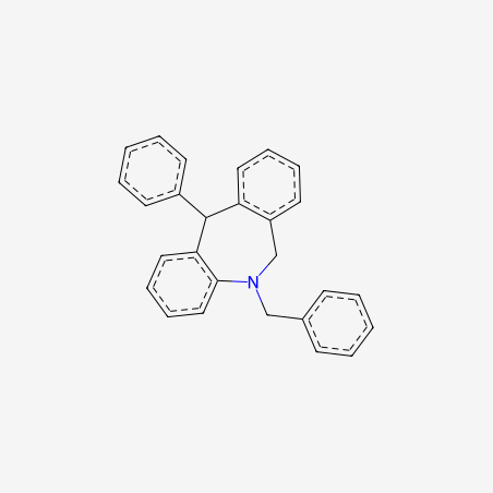 c1ccc(CN2Cc3ccccc3C(c3ccccc3)c3ccccc32)cc1